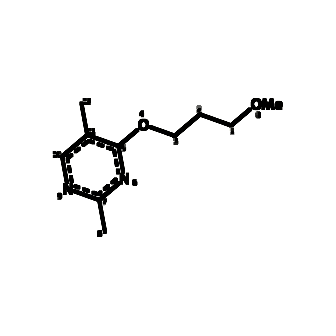 COCCCOc1nc(C)ncc1C